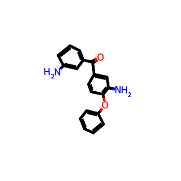 Nc1cccc(C(=O)c2ccc(Oc3ccccc3)c(N)c2)c1